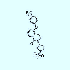 CS(=O)(=O)N1CCC(N2CCc3c(Oc4ccc(C(F)(F)F)cc4)cccc3C2=O)C1